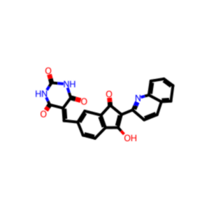 O=C1NC(=O)C(=Cc2ccc3c(c2)C(=O)C(c2ccc4ccccc4n2)=C3O)C(=O)N1